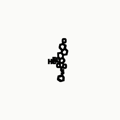 C#C[C@]1(OC(=O)CSc2ccccc2)CCC2C3CCC4=CC(=O)CCC4C3CC[C@@]21CC